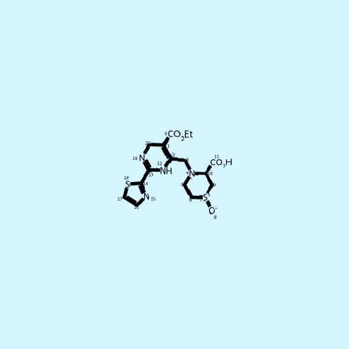 CCOC(=O)C1=C(CN2CC[S+]([O-])CC2C(=O)O)NC(c2nccs2)=NC1